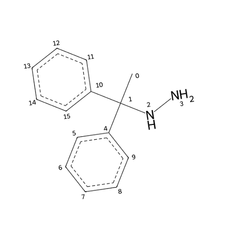 CC(NN)(c1ccccc1)c1ccccc1